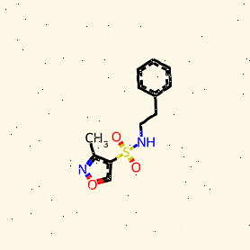 Cc1nocc1S(=O)(=O)NCCc1ccccc1